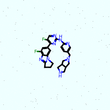 Fc1cnc(Nc2ccc(CN3CC4CNCC4C3)cn2)nc1-c1cc(F)c2nc3n(c2c1)CCC3